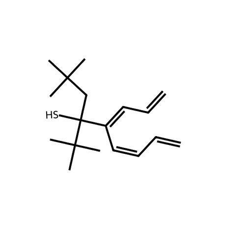 C=C/C=C\C(=C/C=C)C(S)(CC(C)(C)C)C(C)(C)C